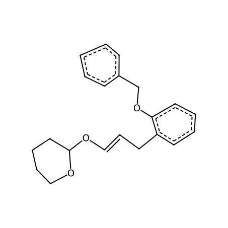 C(=COC1CCCCO1)Cc1ccccc1OCc1ccccc1